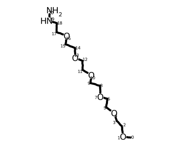 COCCOCCOCCOCCOCCOCCNN